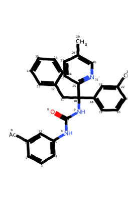 CC(=O)c1cccc(NC(=O)NC(Cc2ccccc2)(c2cccc(C(F)(F)F)c2)c2ccc(C)cn2)c1